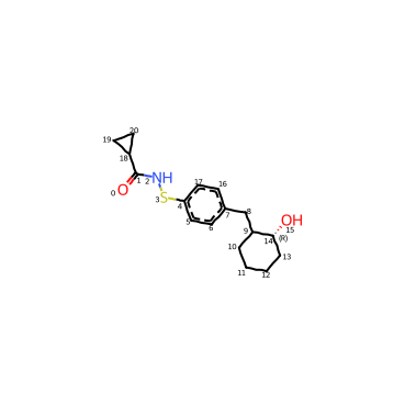 O=C(NSc1ccc(CC2CCCC[C@H]2O)cc1)C1CC1